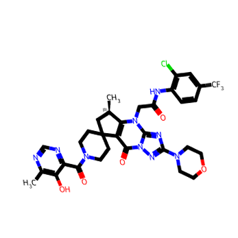 Cc1ncnc(C(=O)N2CCC3(CC2)C[C@@H](C)c2c3c(=O)n3nc(N4CCOCC4)nc3n2CC(=O)Nc2ccc(C(F)(F)F)cc2Cl)c1O